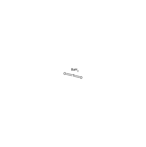 [BaH2].[O]=[Ti]=[O]